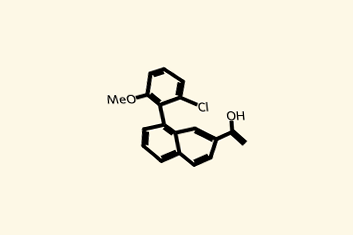 C=C(O)c1ccc2cccc(-c3c(Cl)cccc3OC)c2c1